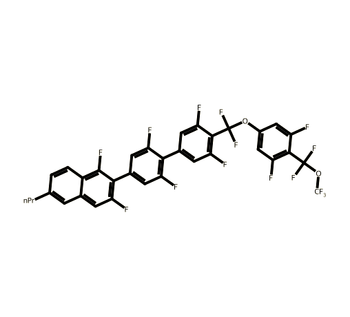 CCCc1ccc2c(F)c(-c3cc(F)c(-c4cc(F)c(C(F)(F)Oc5cc(F)c(C(F)(F)OC(F)(F)F)c(F)c5)c(F)c4)c(F)c3)c(F)cc2c1